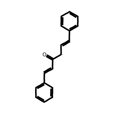 O=C([CH]/C=C/c1ccccc1)/C=C/c1ccccc1